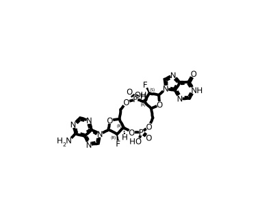 Nc1ncnc2c1ncn2C1OC2COP(=O)(O)[C@@H]3C(COP(=O)(O)O[C@H]2[C@H]1F)OC(n1cnc2c(=O)[nH]cnc21)[C@@H]3F